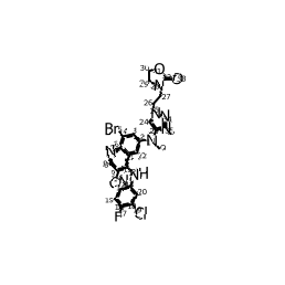 CN(c1cc(Br)c2ncc(C#N)c(Nc3ccc(F)c(Cl)c3)c2c1)c1cn(CCN2CCOC2=O)nn1